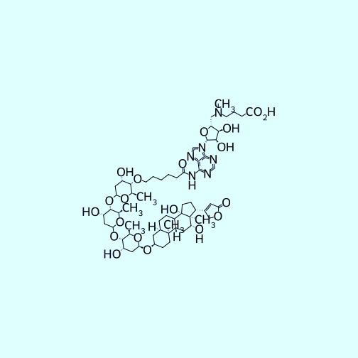 C[C@H]1OC(O[C@H]2[C@@H](O)CC(O[C@H]3[C@@H](O)C[C@H](O[C@@H]4CC[C@@]5(C)[C@H](CCC6[C@@H]5C[C@@H](O)[C@]5(C)[C@@H](C7=CC(=O)OC7)CC[C@]65O)C4)O[C@@H]3C)O[C@@H]2C)C[C@H](O)[C@@H]1OCCCCCC(=O)Nc1ncnc2c1ncn2[C@@H]1O[C@H](CN(C)CCCC(=O)O)[C@@H](O)[C@H]1O